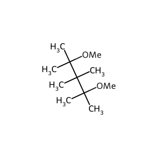 COC(C)(C)C(C)(C)C(C)(C)OC